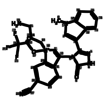 Cn1cc(-c2n[nH]c(=O)n2C2=C[N+](CCCN)(OC(=O)C(F)(F)F)c3cc(C#N)ccc32)c2ccccc21